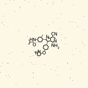 C=C(C)C(=O)Nc1ccc(-c2c(-c3ccc(Oc4ccn(C)n4)cc3)c3c(N)ncc(C#N)c3n2C)c(C)c1